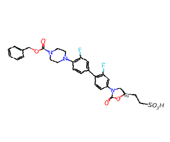 O=C(OCc1ccccc1)N1CCN(c2ccc(-c3ccc(N4C[C@@H](CCS(=O)(=O)O)OC4=O)cc3F)cc2F)CC1